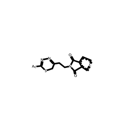 CC(=O)C1=NN=C(CCN2C(=O)c3ccccc3C2=O)CS1